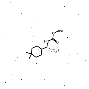 CC1(C)CCC([C@H](NC(=O)OC(C)(C)C)C(=O)O)CC1